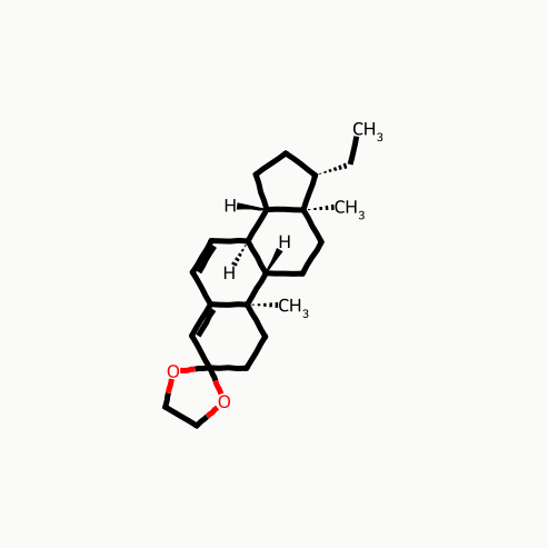 CC[C@H]1CC[C@H]2[C@@H]3C=CC4=CC5(CC[C@]4(C)[C@H]3CC[C@]12C)OCCO5